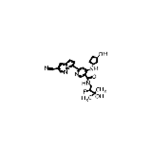 CC(C)(O)C(F)CNC(=O)c1cnc(-c2ccc3cc(C#N)cnn23)cc1N[C@H]1CC[C@@H](O)C1